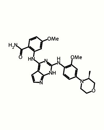 COc1ccc(C(N)=O)c(Nc2nc(Nc3ccc(N4CCOC[C@@H]4C)cc3OC)[nH]c3nccc2-3)c1